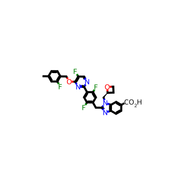 Cc1ccc(COc2nc(-c3cc(F)c(Cc4nc5ccc(C(=O)O)cc5n4C[C@@H]4CCO4)cc3F)ncc2F)c(F)c1